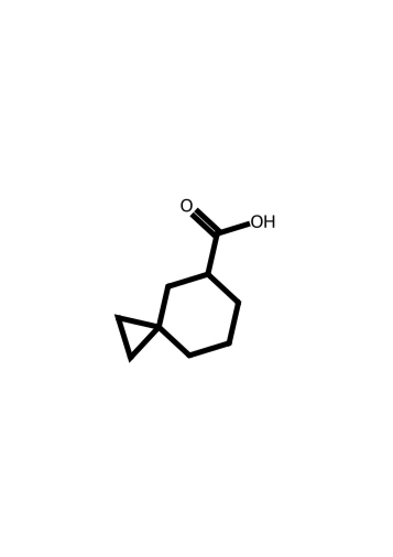 O=C(O)C1CCCC2(CC2)C1